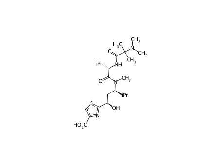 CC(C)[C@H](NC(=O)C(C)(C)N(C)C)C(=O)N(C)[C@H](C[C@@H](O)c1nc(C(=O)O)cs1)C(C)C